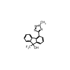 Cn1nnc(-c2cccc3c2-c2ccccc2C3(O)C(F)(F)F)n1